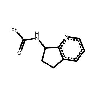 CCC(=O)NC1CCc2cccnc21